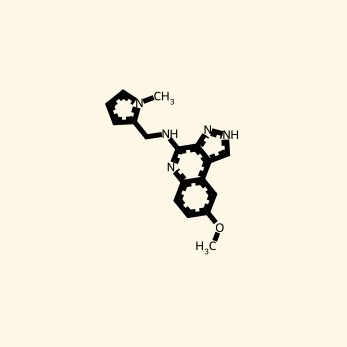 COc1ccc2nc(NCc3cccn3C)c3n[nH]cc3c2c1